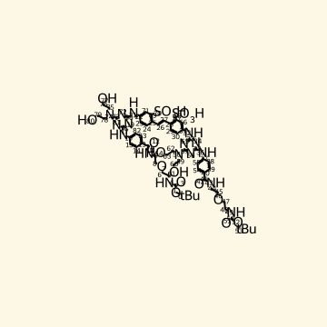 CC(C)(C)OC(=O)NCCOCCNC(=O)c1ccc(Nc2nc(Nc3ccc(/C=C/c4ccc(Nc5nc(Nc6ccc(C(=O)NCCOCCNC(=O)OC(C)(C)C)cc6)nc(N(CCO)CCO)n5)cc4S(=O)(=O)O)c(S(=O)(=O)O)c3)nc(N(CCO)CCO)n2)cc1